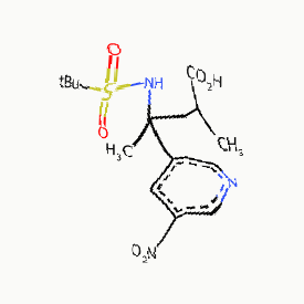 CC(C(=O)O)C(C)(NS(=O)(=O)C(C)(C)C)c1cncc([N+](=O)[O-])c1